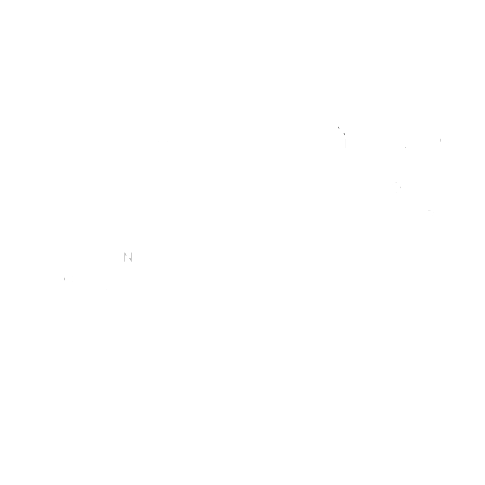 Cc1oc(-c2ccccc2)nc1CCOc1ccc(CNCC(=O)OC(C)(C)C)cc1